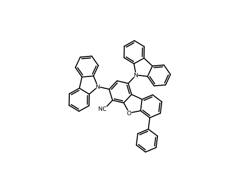 N#Cc1c(-n2c3ccccc3c3ccccc32)cc(-n2c3ccccc3c3ccccc32)c2c1oc1c(-c3ccccc3)cccc12